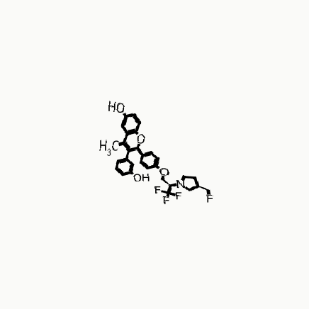 CC1=C(c2cccc(O)c2)C(c2ccc(OC[C@@H](N3CC[C@@H](CF)C3)C(F)(F)F)cc2)Oc2ccc(O)cc21